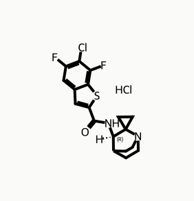 Cl.O=C(N[C@@H]1C2CCN(CC2)C12CC2)c1cc2cc(F)c(Cl)c(F)c2s1